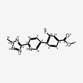 COC(=O)c1ccc(-c2ccc(-c3nnn(C)n3)nc2)c(F)c1